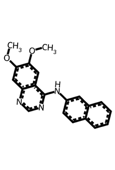 COc1cc2ncnc(Nc3ccc4ccccc4c3)c2cc1OC